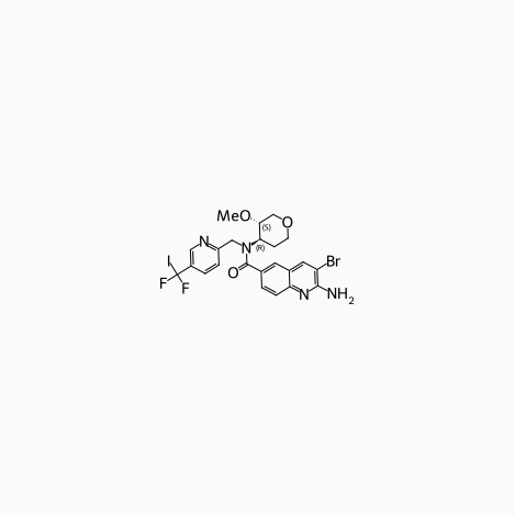 CO[C@@H]1COCC[C@H]1N(Cc1ccc(C(F)(F)I)cn1)C(=O)c1ccc2nc(N)c(Br)cc2c1